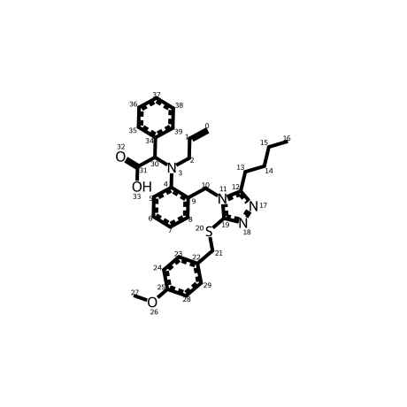 C=CCN(c1ccccc1Cn1c(CCCC)nnc1SCc1ccc(OC)cc1)C(C(=O)O)c1ccccc1